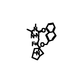 Cc1nn(C[C@H](F)CN2C3CCC2CC(OCc2ccc4ccccc4c2)C3)c(=O)n1C